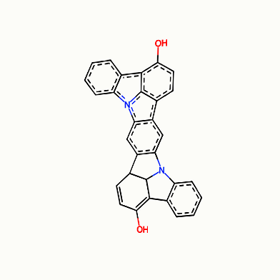 OC1=C2c3ccccc3N3c4cc5c6ccc(O)c7c8ccccc8n(c5cc4C(C=C1)C23)c67